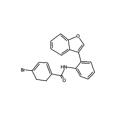 O=C(Nc1ccccc1-c1coc2ccccc12)C1=CC=C(Br)CC1